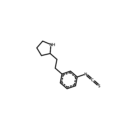 S=C=Nc1cccc(CCC2CCCN2)c1